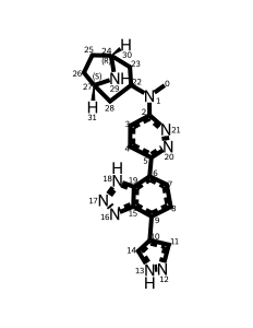 CN(c1ccc(-c2ccc(-c3cn[nH]c3)c3nn[nH]c23)nn1)C1C[C@H]2CC[C@@H](C1)N2